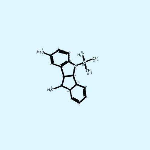 COc1ccc2c(c1)C1C(C)C3C=CC=CC3C1N2[Si](C)(C)C